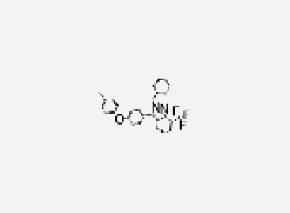 Cc1ccc(Oc2ccc(-c3c4cccc(C(F)(F)F)c4nn3Cc3ccccc3)cc2)cc1